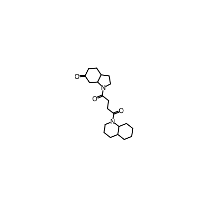 O=C1CCC2CCN(C(=O)CCC(=O)N3CCCC4CCCCC43)C2C1